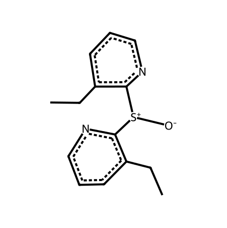 CCc1cccnc1[S+]([O-])c1ncccc1CC